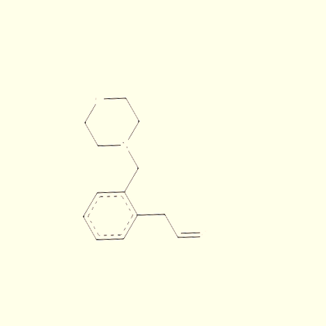 O=CCc1ccccc1CN1CCOCC1